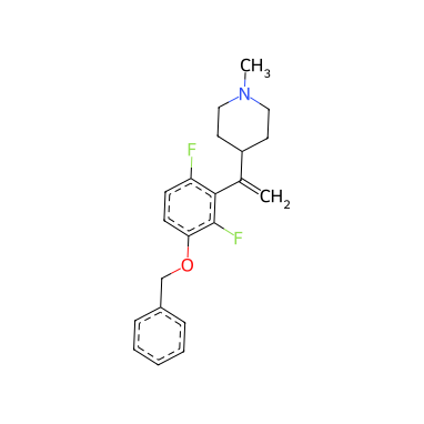 C=C(c1c(F)ccc(OCc2ccccc2)c1F)C1CCN(C)CC1